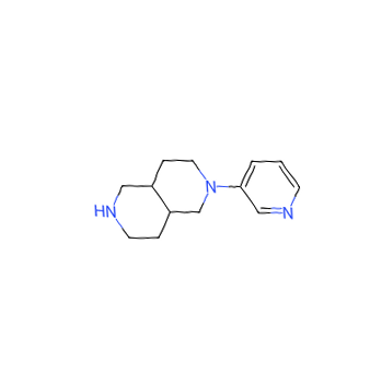 c1cncc(N2CCC3CNCCC3C2)c1